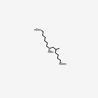 CCCCCCCCCCCCCCCCN(CCCC)CC(C)CCCCCCCCCCCCCC